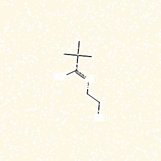 CC(C)(C)C(O)=[SH]CCO